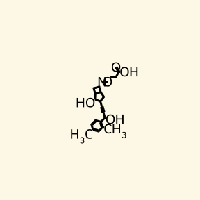 Cc1ccc(C(O)C#CC2CC3C(=NOCCC(=O)O)CC3C2O)c(C)c1